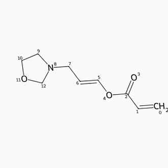 C=CC(=O)OC=CCN1CCOC1